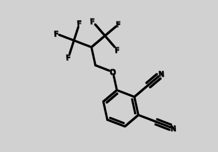 N#Cc1cccc(OCC(C(F)(F)F)C(F)(F)F)c1C#N